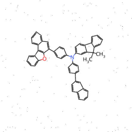 CC1(C)c2ccccc2-c2ccc(N(c3ccc(-c4ccc5ccccc5c4)cc3)c3ccc(-c4cc5ccccc5c5c4oc4ccccc45)cc3)cc21